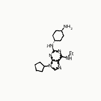 CCNc1nc(N[C@H]2CC[C@H](N)CC2)nc2c1ncn2C1CCCC1